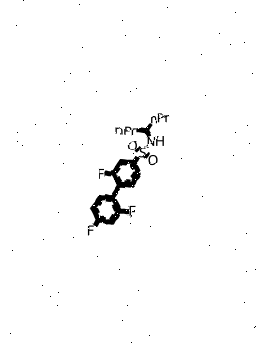 CCCC(CCC)NS(=O)(=O)c1ccc(-c2ccc(F)cc2F)c(F)c1